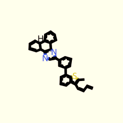 C=C/C=C\c1c(C)sc2c(-c3cccc(-c4cnc5c(n4)-c4ccccc4[C@H]4C=CC=CC54)c3)cccc12